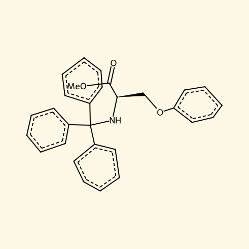 COC(=O)[C@@H](COc1ccccc1)NC(c1ccccc1)(c1ccccc1)c1ccccc1